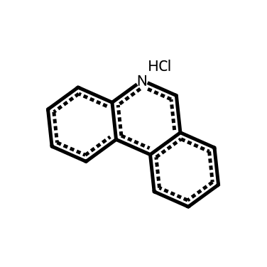 Cl.c1ccc2c(c1)cnc1ccccc12